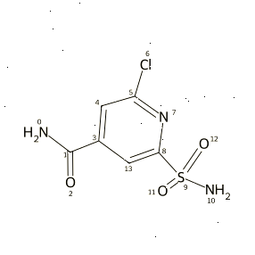 NC(=O)c1cc(Cl)nc(S(N)(=O)=O)c1